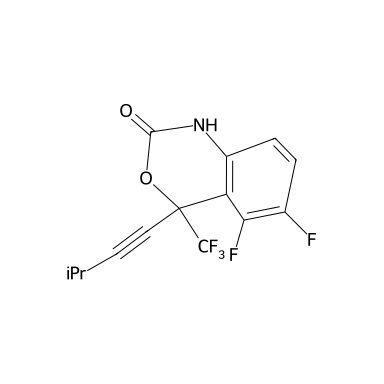 CC(C)C#CC1(C(F)(F)F)OC(=O)Nc2ccc(F)c(F)c21